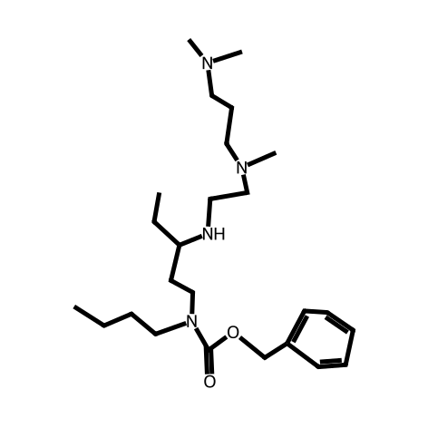 CCCCN(CCC(CC)NCCN(C)CCCN(C)C)C(=O)OCc1ccccc1